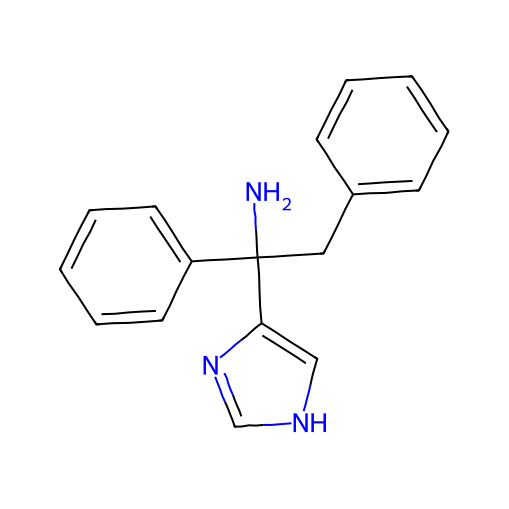 NC(Cc1ccccc1)(c1ccccc1)c1c[nH]cn1